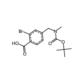 CN(Cc1ccc(C(=O)O)c(Br)c1)C(=O)OC(C)(C)C